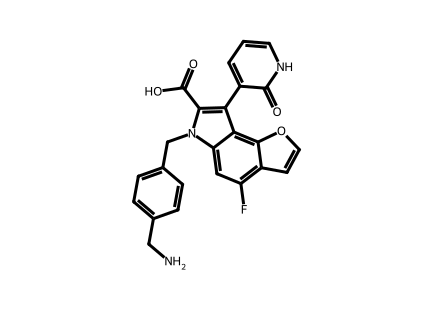 NCc1ccc(Cn2c(C(=O)O)c(-c3ccc[nH]c3=O)c3c4occc4c(F)cc32)cc1